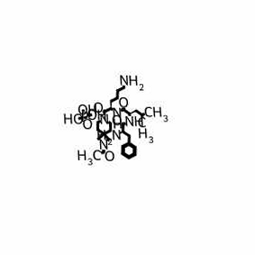 CC(=O)N1CC2(CCN(C(=O)[C@@H](CCCCN)NC(=O)[C@@H](CC(C)C)NC(=O)[C@H](N)Cc3ccccc3)CC2)C1.O=P(O)(O)O